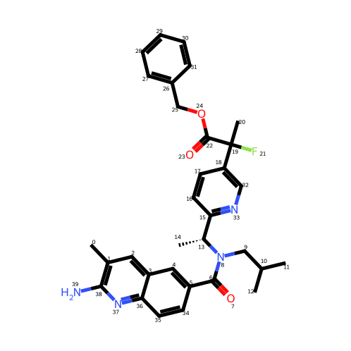 Cc1cc2cc(C(=O)N(CC(C)C)[C@H](C)c3ccc(C(C)(F)C(=O)OCc4ccccc4)cn3)ccc2nc1N